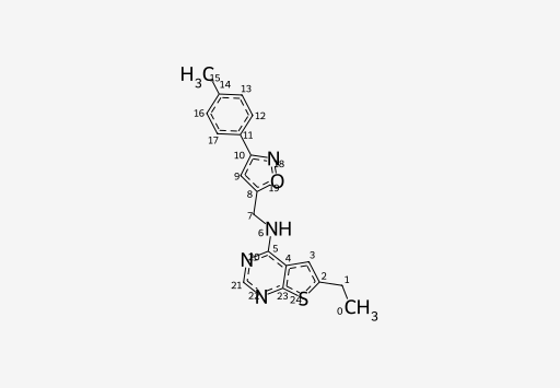 CCc1cc2c(NCc3cc(-c4ccc(C)cc4)no3)ncnc2s1